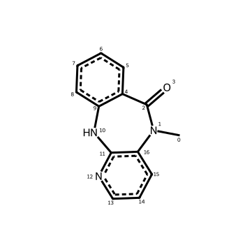 CN1C(=O)c2ccccc2Nc2ncccc21